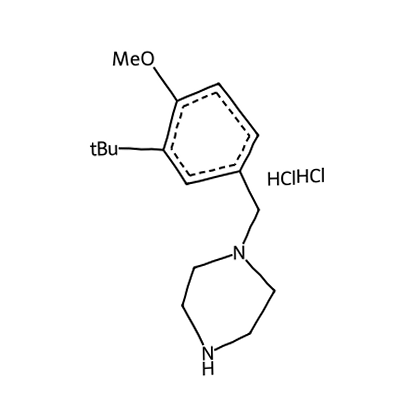 COc1ccc(CN2CCNCC2)cc1C(C)(C)C.Cl.Cl